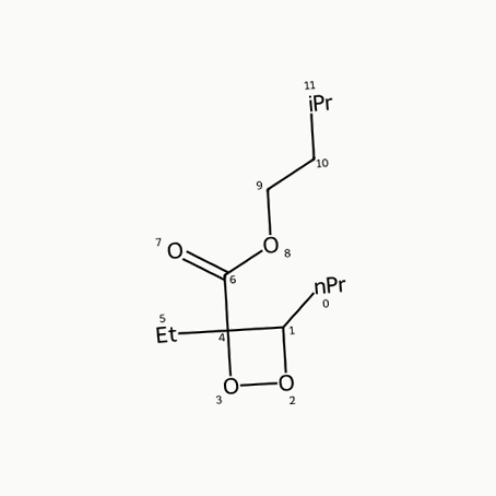 CCCC1OOC1(CC)C(=O)OCCC(C)C